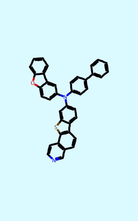 c1ccc(-c2ccc(N(c3ccc4c(c3)sc3c5ccncc5ccc43)c3ccc4oc5ccccc5c4c3)cc2)cc1